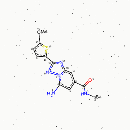 CCCCNC(=O)c1cc(N)n2nc(-c3ccc(OC)s3)nc2c1